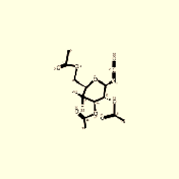 CC(=O)OC[C@H]1O[C@@H](N=C=O)[C@H](OC(C)=O)[C@@H](OC(C)=O)C1(F)F